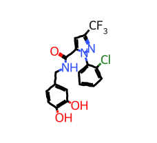 O=C(NCc1ccc(O)c(O)c1)c1cc(C(F)(F)F)nn1-c1ccccc1Cl